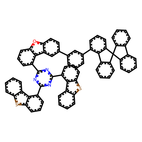 c1cc(-c2ccc3oc4cccc(-c5nc(-c6cccc7sc8ccccc8c67)nc(-c6cccc7sc8ccccc8c67)n5)c4c3c2)cc(-c2cccc3c2-c2ccccc2C32c3ccccc3-c3ccccc32)c1